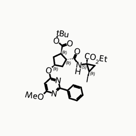 CCOC(=O)[C@@]1(NC(=O)[C@@H]2C[C@@H](Oc3cc(OC)nc(-c4ccccc4)n3)C[C@H]2C(=O)OC(C)(C)C)C[C@H]1I